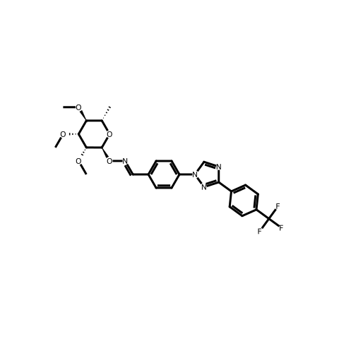 CO[C@@H]1[C@@H](OC)[C@H](C)O[C@@H](O/N=C/c2ccc(-n3cnc(-c4ccc(C(F)(F)F)cc4)n3)cc2)[C@@H]1OC